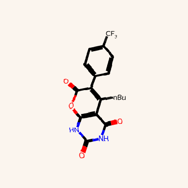 CCCCc1c(-c2ccc(C(F)(F)F)cc2)c(=O)oc2[nH]c(=O)[nH]c(=O)c12